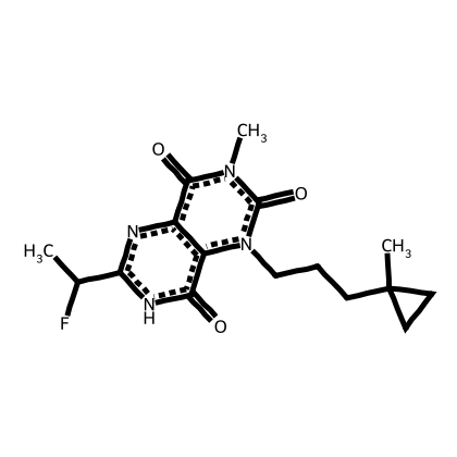 CC(F)c1nc2c(=O)n(C)c(=O)n(CCCC3(C)CC3)c2c(=O)[nH]1